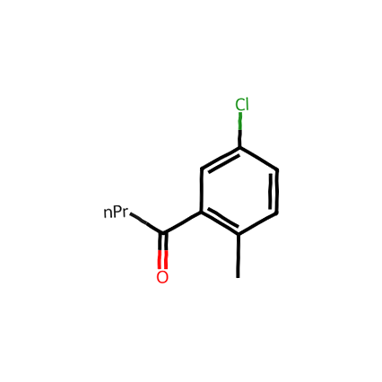 CCCC(=O)c1cc(Cl)ccc1C